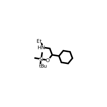 CCNCC(O[Si](C)(C)C(C)(C)C)C1CCCCC1